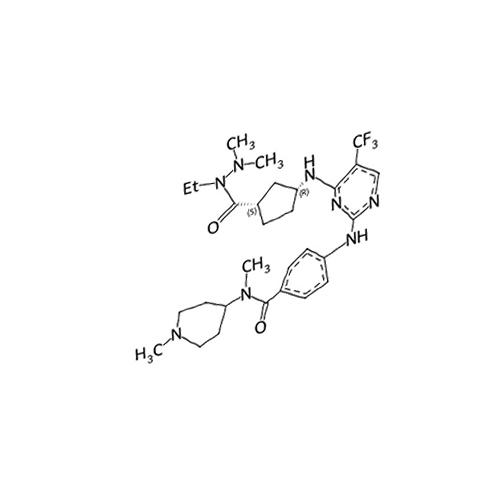 CCN(C(=O)[C@H]1CC[C@@H](Nc2nc(Nc3ccc(C(=O)N(C)C4CCN(C)CC4)cc3)ncc2C(F)(F)F)C1)N(C)C